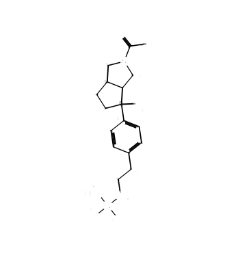 CC(C)C(=O)N1CC2CCC(O)(c3ccc(CCO[Si](C)(C)C(C)(C)C)cc3)C2C1